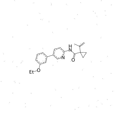 C=C(C)C1(C(=O)Nc2ccc(-c3cccc(OCC)c3)cn2)CC1